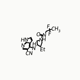 CC[C@H]1CN(C(=O)NCC(C)(F)F)C[C@H]1Nc1c(C#N)cnc2[nH]ccc12